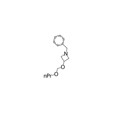 CCCOCOC1CN(Cc2ccccc2)C1